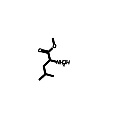 COC(=O)C(N)CC(C)C.Cl